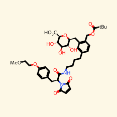 COCCOc1ccc(C[C@@H](C(=O)NCCCCc2ccc(COC(=O)C(C)(C)C)c(C[C@@H]3O[C@H](C(=O)O)[C@@H](O)[C@H](O)[C@H]3O)c2)N2C(=O)C=CC2=O)cc1